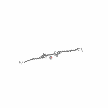 CCCCCCCCCCCCCCCCCC[n+]1ccc(C(=O)C(=O)OCCCCCCOC(=O)C(=O)c2cc[n+](CCCCCCCCCCCCCCCCCC)cc2)cc1.[Cl-].[Cl-]